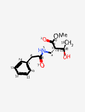 COC(=O)[C@@H](CNC(=O)Cc1ccccc1)[C@@H](C)O